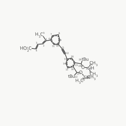 CC(=CC=CC(=O)O)c1cccc(C#Cc2ccc(C(O[SiH](C)C)C(C)(C)C)c(C(O[SiH](C)C)C(C)(C)C)c2)c1